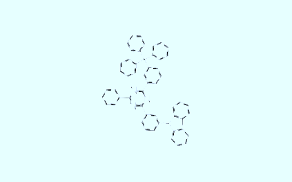 c1ccc(-c2nc(-c3cccc(C4c5ccccc5-c5ccccc54)c3)nc(-c3cccc(C(c4ccccc4)(c4ccccc4)c4ccccc4)c3)n2)cc1